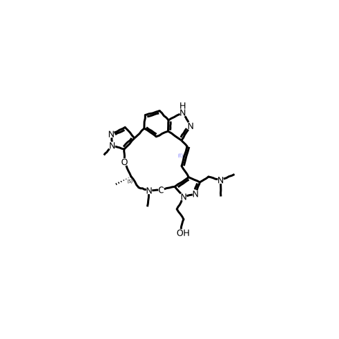 C[C@H]1CN(C)Cc2c(c(CN(C)C)nn2CCO)/C=C/c2n[nH]c3ccc(cc23)-c2cnn(C)c2O1